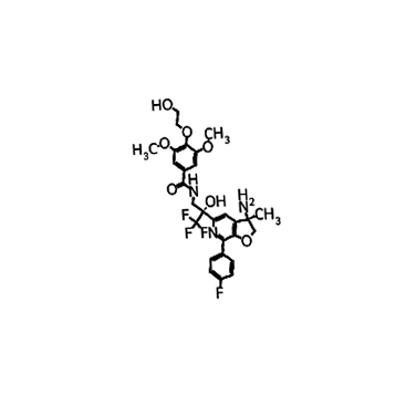 COc1cc(C(=O)NC[C@@](O)(c2cc3c(c(-c4ccc(F)cc4)n2)OC[C@@]3(C)N)C(F)(F)F)cc(OC)c1OCCO